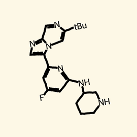 CC(C)(C)c1cn2c(-c3cc(F)cc(NC4CCCNC4)n3)cnc2cn1